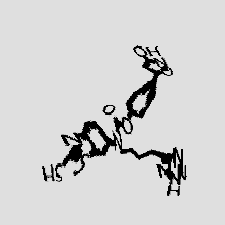 O=C(Oc1ccc(-c2cc(O)no2)cc1)N(CCCCc1nn[nH]n1)c1ccc2nc(S)sc2c1